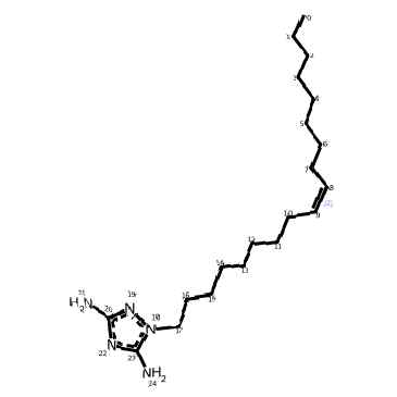 CCCCCCCC/C=C\CCCCCCCCn1nc(N)nc1N